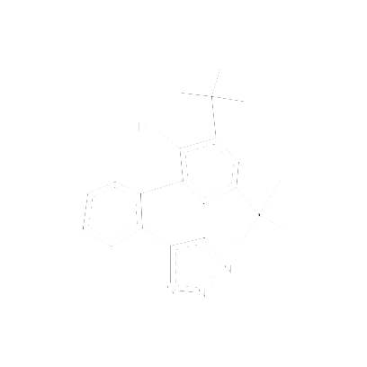 CCC(C)(C)c1cc(-c2ccccc2-c2c[nH]nn2)c(O)c(C(C)(C)CC)c1